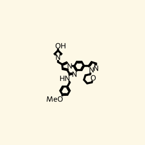 COc1ccc(CNc2nc3cc(-c4ccnn4C4CCCCO4)ccc3n3cc(CN4CC(O)C4)cc23)cc1